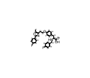 Cc1oc(-c2ccc(F)cc2)nc1CCOc1ccc(CC(NCc2ccc(F)cc2)C(=O)O)cc1